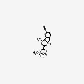 C[C@@H]1CN(C(=O)OC(C)(C)C)C[C@H]2Cc3ccc(C#N)nc3N21